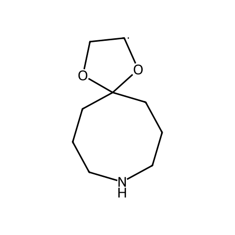 [CH]1COC2(CCCNCCC2)O1